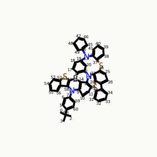 CC(C)(C)c1ccc(N2c3cccc4c3B(c3ccc5cc3N4c3c(ccc4c3sc3ccccc34)Sc3ccccc3N5c3ccccc3)c3sc4ccccc4c32)cc1